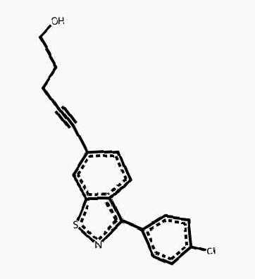 OCCCC#Cc1ccc2c(-c3ccc(Cl)cc3)nsc2c1